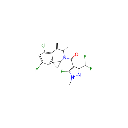 C=C(c1ccc(F)cc1Cl)C(C)N(C(=O)c1c(C(F)F)nn(C)c1F)C1CC1